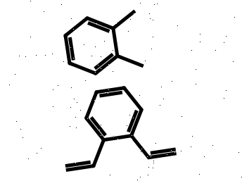 C=Cc1ccccc1C=C.Cc1ccccc1C